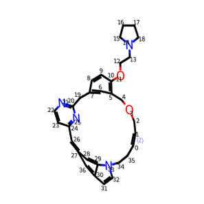 C1=C\COCc2cc(ccc2OCCN2CCCC2)Cc2nccc(n2)-c2ccc3c(ccn3CC/1)c2